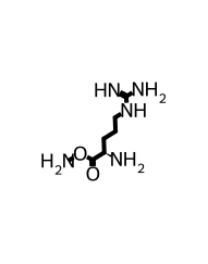 N=C(N)NCCC[C@H](N)C(=O)ON